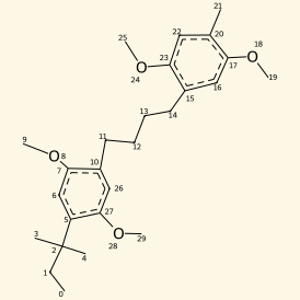 CCC(C)(C)c1cc(OC)c(CCCCc2cc(OC)c(C)cc2OC)cc1OC